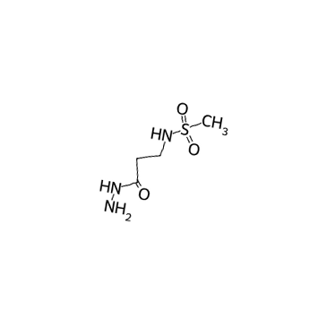 CS(=O)(=O)NCCC(=O)NN